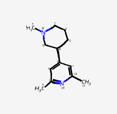 Cc1cc(C2CCCN(C)C2)cc(C)n1